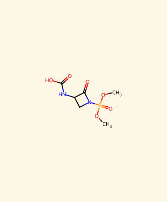 COP(=O)(OC)N1CC(NC(=O)O)C1=O